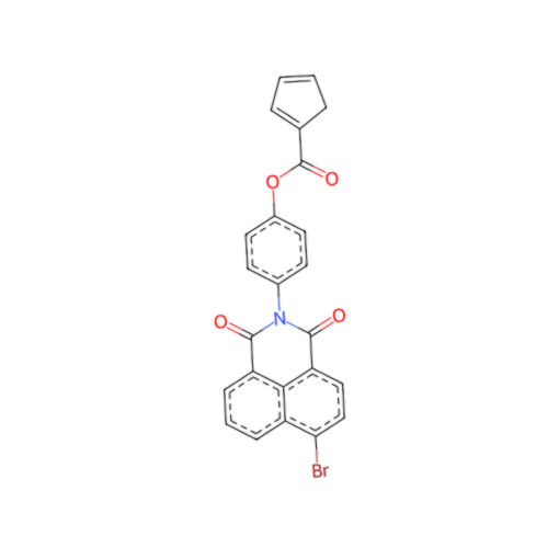 O=C(Oc1ccc(N2C(=O)c3cccc4c(Br)ccc(c34)C2=O)cc1)C1=CC=CC1